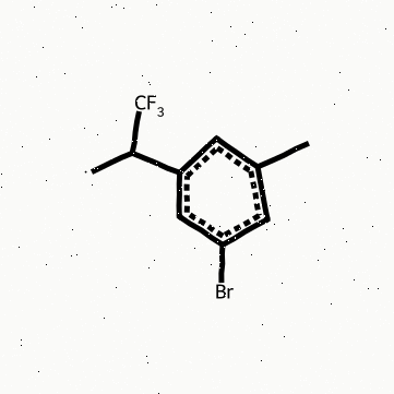 [CH2]C(c1cc(C)cc(Br)c1)C(F)(F)F